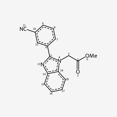 COC(=O)Cn1c(-c2cccc(C#N)c2)nc2ccccc21